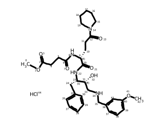 COC(=O)CCC(=O)N[C@H](CCC(=O)N1CCCCC1)C(=O)N[C@@H](Cc1ccccc1)[C@H](O)CNCc1cccc(OC)c1.Cl